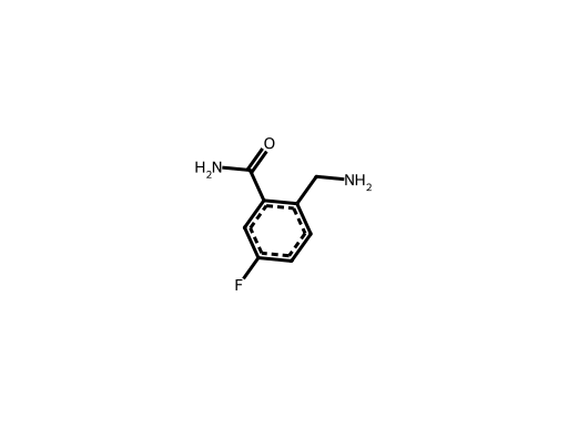 NCc1ccc(F)cc1C(N)=O